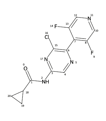 O=C(Nc1cnc(-c2c(F)cncc2F)c(Cl)n1)C1CC1